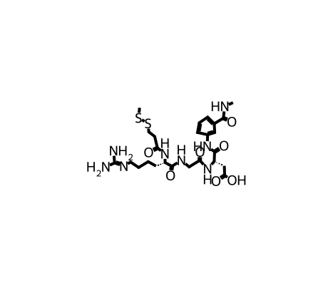 CNC(=O)c1cccc(NC(=O)[C@H](CC(=O)O)NC(=O)CNC(=O)[C@H](CCCCN=C(N)N)NC(=O)CCSSC)c1